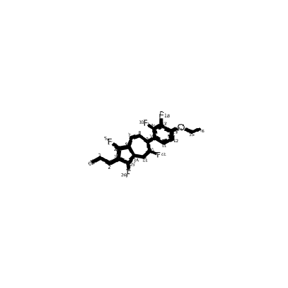 CCCC1C(F)C2CCC(c3ccc(OCC)c(F)c3F)C(F)CC2C1F